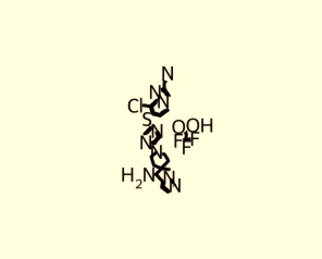 N#Cc1cn2ccc(Sc3cnc(N4CCC5(CC4)Cn4nccc4[C@H]5N)cn3)c(Cl)c2n1.O=C(O)C(F)(F)F